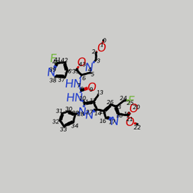 COCCN1C[C@@H](NC(=O)Nc2c(C)c(-c3cnc(C(=O)OC)c(CF)c3)nn2-c2ccccc2)[C@H](c2ccnc(F)c2)O1